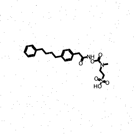 CN(CCS(=O)(=O)O)C(=O)ONC(=O)Cc1ccc(CCCCc2ccccc2)cc1